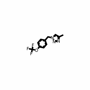 Cc1cn(Cc2ccc(OC(F)(F)F)cc2)nn1